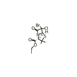 CC1(C)S[C@H]2N(C(=O)C2(Cl)Br)[C@H]1C(=O)OCI